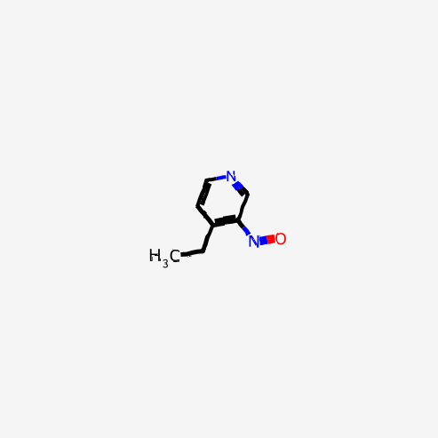 CCc1ccncc1N=O